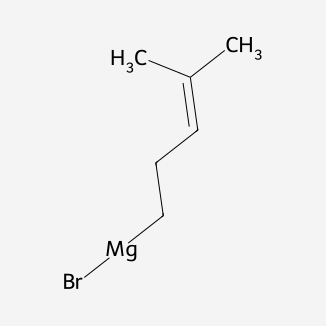 CC(C)=CC[CH2][Mg][Br]